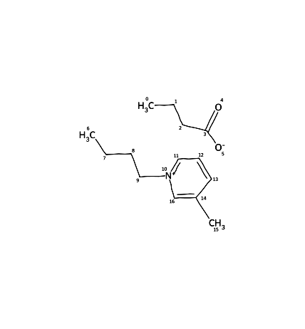 CCCC(=O)[O-].CCCC[n+]1cccc(C)c1